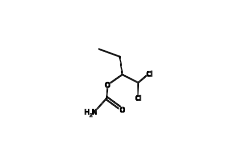 CCC(OC(N)=O)C(Cl)Cl